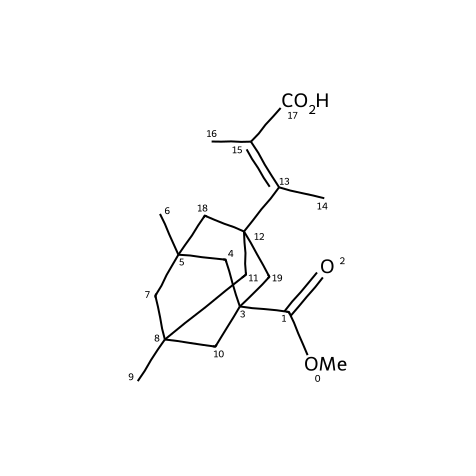 COC(=O)C12CC3(C)CC(C)(C1)CC(C(C)=C(C)C(=O)O)(C3)C2